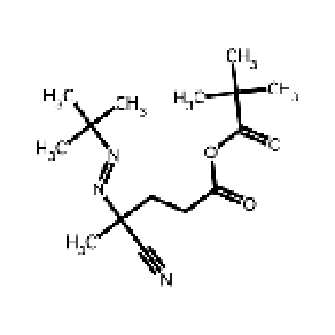 CC(C)(C)N=NC(C)(C#N)CCC(=O)OC(=O)C(C)(C)C